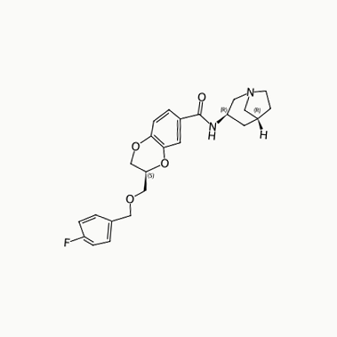 O=C(N[C@@H]1C[C@H]2CCN(C2)C1)c1ccc2c(c1)O[C@@H](COCc1ccc(F)cc1)CO2